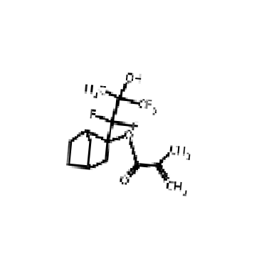 C=C(C)C(=O)OC1(C(F)(F)C(C)(O)C(F)(F)F)CC2CCC1CC2